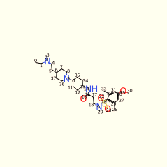 CCN(C)CCC1CCN([C@H]2CC[C@H](NC(=O)CCN(C)S(=O)(=O)c3c(C)cc(OC)cc3C)CC2)CC1